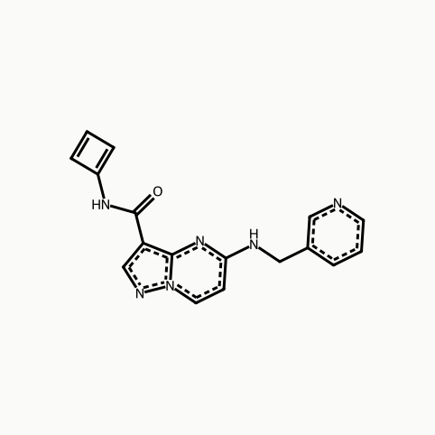 O=C(NC1=CC=C1)c1cnn2ccc(NCc3cccnc3)nc12